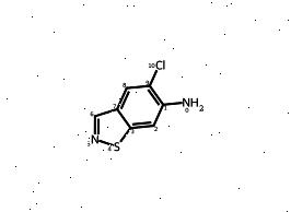 Nc1cc2sncc2cc1Cl